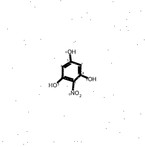 O=[N+]([O-])c1c(O)cc(O)cc1O